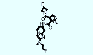 CN(CCF)c1nc2cc(NC(=O)c3c(C(=O)N4CC(F)C4)cnn3C)ccn2n1